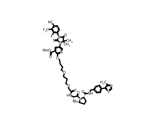 COC(=O)c1cc(N2C(=S)N(c3ccc(C#N)c(C(F)(F)F)c3F)C(=O)C2(C)C)cnc1OCCCCOCCCOCC(=O)N[C@H](C(=O)N1CCC[C@H]1C(=O)NCc1ccc(-c2scnc2C)cc1)C(C)(C)C